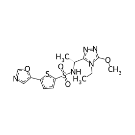 CCn1c(OC)nnc1[C@@H](C)NS(=O)(=O)c1ccc(-c2cnco2)s1